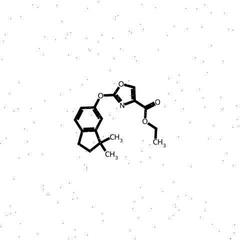 CCOC(=O)c1coc(Oc2ccc3c(c2)C(C)(C)CC3)n1